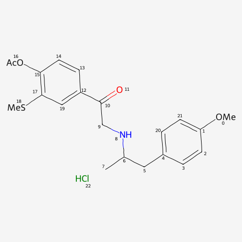 COc1ccc(CC(C)NCC(=O)c2ccc(OC(C)=O)c(SC)c2)cc1.Cl